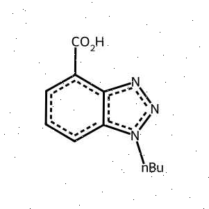 CCCCn1nnc2c(C(=O)O)cccc21